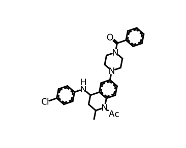 CC(=O)N1c2ccc(N3CCN(C(=O)c4ccccc4)CC3)cc2C(Nc2ccc(Cl)cc2)CC1C